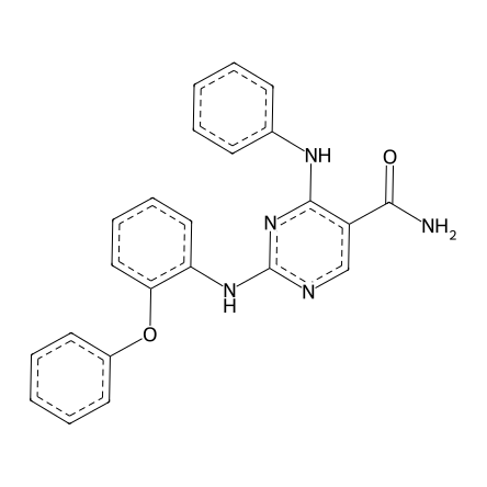 NC(=O)c1cnc(Nc2ccccc2Oc2ccccc2)nc1Nc1ccccc1